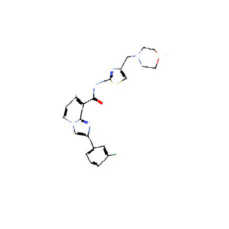 O=C(Nc1nc(CN2CCOCC2)cs1)c1cccn2cc(-c3cccc(Cl)c3)nc12